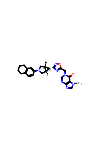 Cn1cnc2ncn(Cc3nc([C@@H]4[C@@H]5CN(c6ccc7c(c6)CCCC7)C[C@@H]54)no3)c(=O)c21